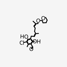 CC(=CCc1c(O)c(Cl)c(C)c(C=O)c1O)CCC=C(C)COC1CCCCO1